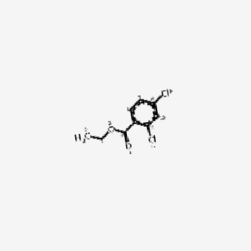 CCOC(=O)c1ccc(Cl)cc1Cl